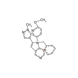 COc1ccc([N+]2(Cc3ccccc3)C(c3cnn(C)c3)=Cc3cnccc32)cn1